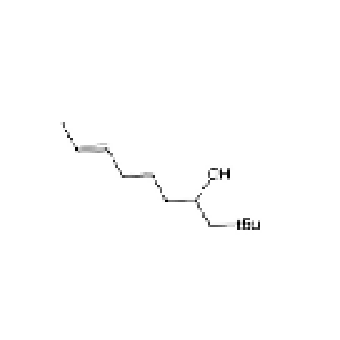 CC=CCCCC(O)CC(C)(C)C